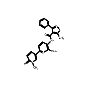 COc1nc(-c2ccc(=O)n(C)c2)ccc1NC(=O)c1c(-c2ccccc2)noc1C